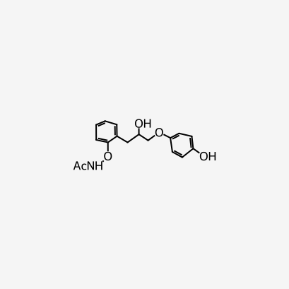 CC(=O)NOc1ccccc1CC(O)COc1ccc(O)cc1